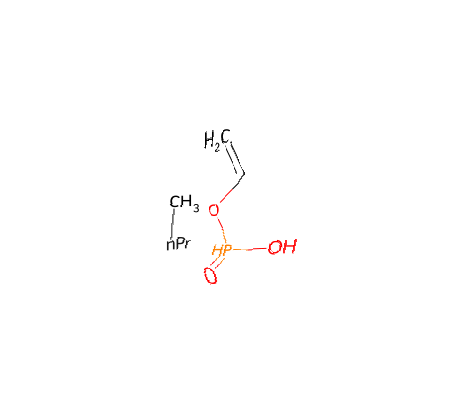 C=CO[PH](=O)O.CCCC